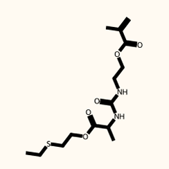 C=C(C)C(=O)OCCNC(=O)NC(C)C(=O)OCCSCC